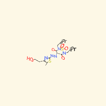 Cc1sc(N=NC2C(=O)N(CC(C)C)S(=O)(=O)N(CC(C)C)C2=O)nc1CCO